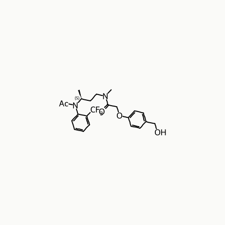 CC(=O)N(c1ccccc1C(F)(F)F)[C@@H](C)CCN(C)C(=O)COc1ccc(CO)cc1